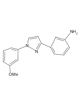 COc1cccc(-n2ccc(-c3cccc(N)c3)n2)c1